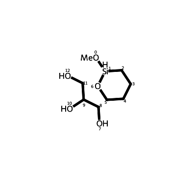 CO[SiH]1CCCCO1.OCC(O)CO